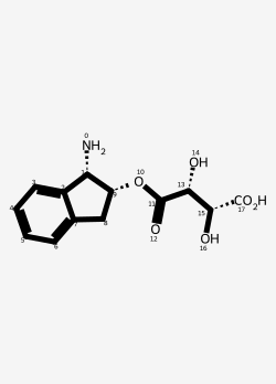 N[C@H]1c2ccccc2C[C@H]1OC(=O)[C@H](O)[C@@H](O)C(=O)O